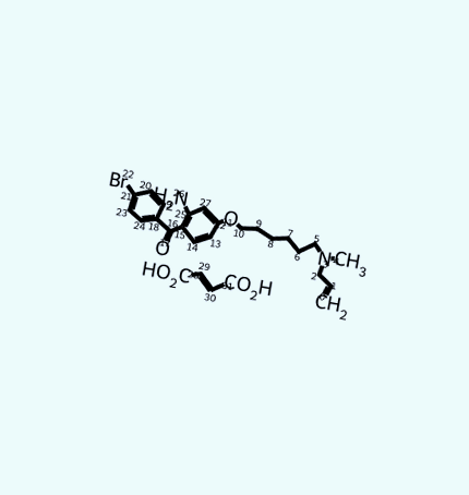 C=CCN(C)CCCCCCOc1ccc(C(=O)c2ccc(Br)cc2)c(N)c1.O=C(O)C=CC(=O)O